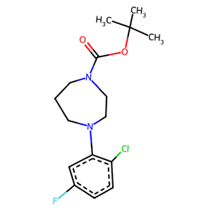 CC(C)(C)OC(=O)N1CCCN(c2cc(F)ccc2Cl)CC1